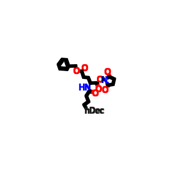 CCCCCCCCCCCCCC(=O)NC(CCC(=O)OCc1ccccc1)C(=O)ON1C(=O)CCC1=O